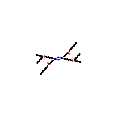 CCCCCCCCCCCOC(=O)CCCCCN(CCCCCCCC(=O)OC(CCCCCC)CCCCCCCC)CCN1CCN(CCN(CCCCCCCC(=O)OC(CCCCCC)CCCCCCCC)CCCCCC(=O)OCCCCCCCCCCC)CC1